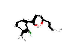 O=C(O)C=Cc1ccc(-c2cccc(C(F)(F)F)c2F)o1